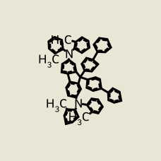 Cc1ccccc1N(c1ccc2c(c1)C(c1ccc(-c3ccccc3)cc1)(c1ccc(-c3ccccc3)cc1)c1cc(N(c3ccccc3C)c3ccccc3C)ccc1-2)c1ccccc1C